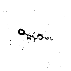 N[C@H]1CCN(C(=O)Nc2ncc(-c3ccccc3)s2)C1